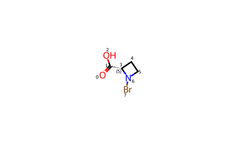 O=C(O)[C@@H]1CCN1Br